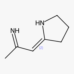 CC(=N)/C=C1/CCCN1